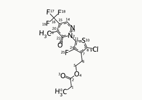 CCC(=O)OCCc1c(Cl)sc(-n2ncc(C(F)(F)F)c(C)c2=O)c1F